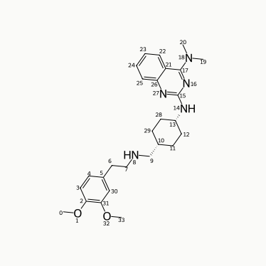 COc1ccc(CCNC[C@H]2CC[C@@H](Nc3nc(N(C)C)c4ccccc4n3)CC2)cc1OC